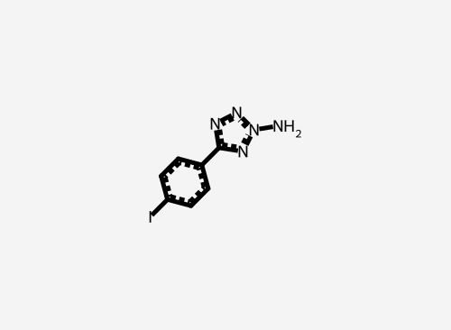 Nn1nnc(-c2ccc(I)cc2)n1